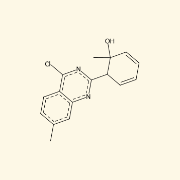 Cc1ccc2c(Cl)nc(C3C=CC=CC3(C)O)nc2c1